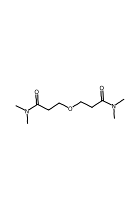 CN(C)C(=O)CCOCCC(=O)N(C)C